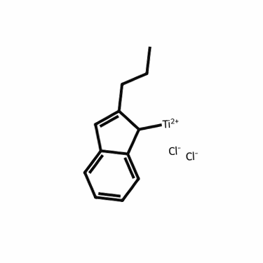 CCCC1=Cc2ccccc2[CH]1[Ti+2].[Cl-].[Cl-]